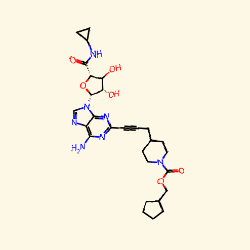 Nc1nc(C#CCC2CCN(C(=O)OCC3CCCC3)CC2)nc2c1ncn2[C@@H]1O[C@H](C(=O)NC2CC2)C(O)[C@@H]1O